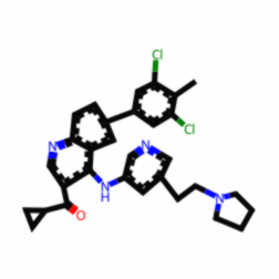 Cc1c(Cl)cc(-c2ccc3ncc(C(=O)C4CC4)c(Nc4cncc(CCN5CCCC5)c4)c3c2)cc1Cl